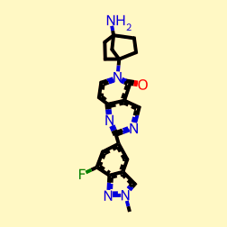 Cn1cc2cc(-c3ncc4c(=O)n(C56CCC(N)(CC5)C6)ccc4n3)cc(F)c2n1